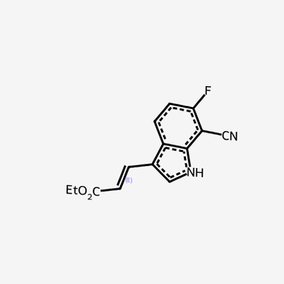 CCOC(=O)/C=C/c1c[nH]c2c(C#N)c(F)ccc12